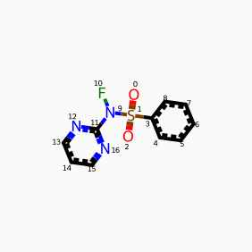 O=S(=O)(c1ccccc1)N(F)c1ncccn1